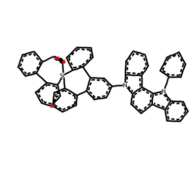 c1ccc(-n2c3ccccc3c3ccc4c(c5ccccc5n4-c4ccc5c(c4)-c4ccccc4[Si]4(c6ccccc6-c6ccccc6-c6ccccc64)c4ccccc4-5)c32)cc1